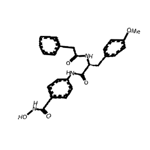 COc1ccc(C[C@H](NC(=O)Cc2ccccc2)C(=O)Nc2ccc(C(=O)NO)cc2)cc1